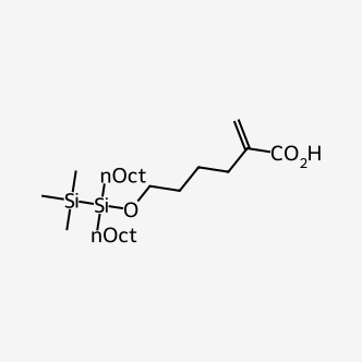 C=C(CCCCO[Si](CCCCCCCC)(CCCCCCCC)[Si](C)(C)C)C(=O)O